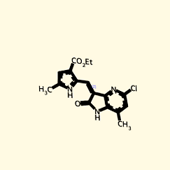 CCOC(=O)c1cc(C)[nH]c1/C=C1\C(=O)Nc2c(C)cc(Cl)nc21